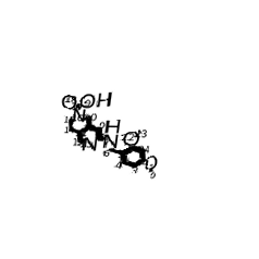 COc1ccc(CNc2cc3c(cn2)CCN(C(=O)O)C3)c(OC)c1